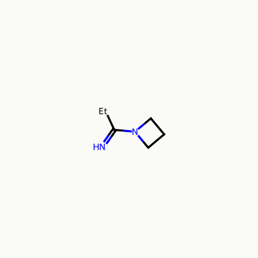 CCC(=N)N1CCC1